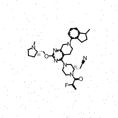 C=C(F)C(=O)N1CCN(c2nc(OC[C@@H]3CCCN3C)nc3c2CCN(c2cccc4c2CCC4C)C3)C[C@@H]1CC#N